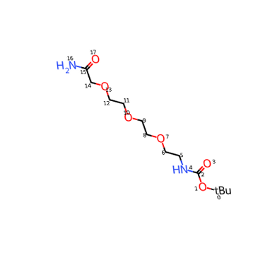 CC(C)(C)OC(=O)NCCOCCOCCOCC(N)=O